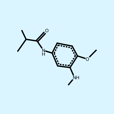 CNc1cc(NC(=O)C(C)C)ccc1OC